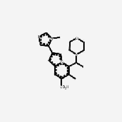 Cc1c(C(=O)O)cc2cc(-c3cncn3C)cn2c1C(C)N1CCOCC1